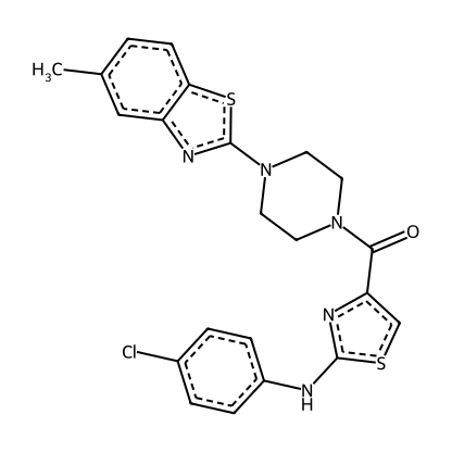 Cc1ccc2sc(N3CCN(C(=O)c4csc(Nc5ccc(Cl)cc5)n4)CC3)nc2c1